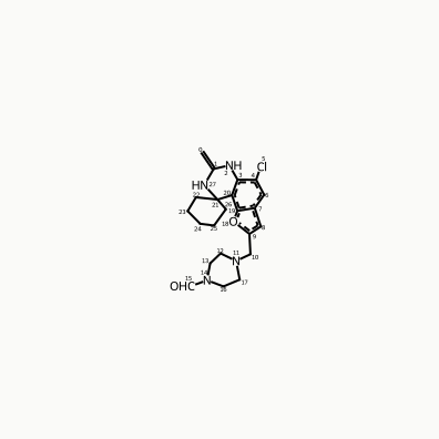 C=C1Nc2c(Cl)cc3cc(CN4CCN(C=O)CC4)oc3c2C2(CCCCC2)N1